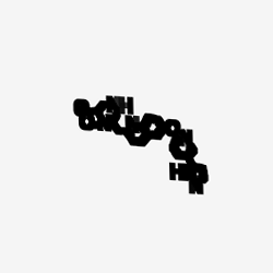 O=C1OCN2C(Cc3ccc4cc(Oc5ccc(-c6ccn[nH]6)cn5)ccc4n3)CNCC12